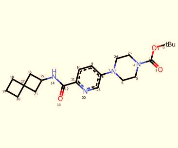 CC(C)(C)OC(=O)N1CCN(c2ccc(C(=O)NC3CC4(CCC4)C3)nc2)CC1